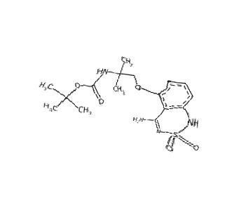 CC(C)(COc1cccc2c1C(N)=NS(=O)(=O)N2)NC(=O)OC(C)(C)C